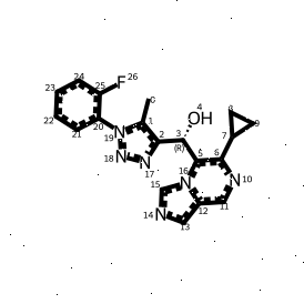 Cc1c([C@H](O)c2c(C3CC3)ncc3cncn23)nnn1-c1ccccc1F